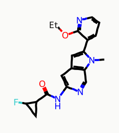 CCOc1ncccc1-c1cc2cc(NC(=O)C3CC3F)ncc2n1C